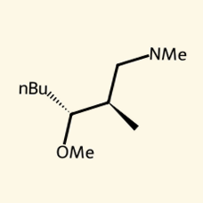 CCCC[C@@H](OC)[C@H](C)CNC